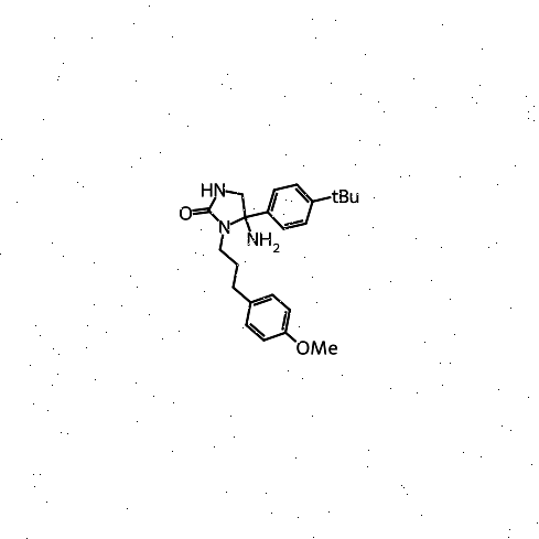 COc1ccc(CCCN2C(=O)NCC2(N)c2ccc(C(C)(C)C)cc2)cc1